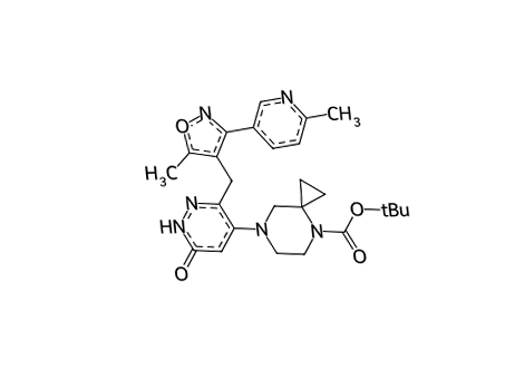 Cc1ccc(-c2noc(C)c2Cc2n[nH]c(=O)cc2N2CCN(C(=O)OC(C)(C)C)C3(CC3)C2)cn1